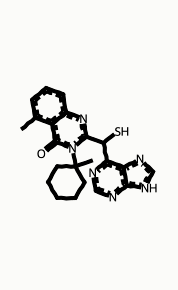 Cc1cccc2nc(C(S)c3ncnc4[nH]cnc34)n(C3(C)CCCCC3)c(=O)c12